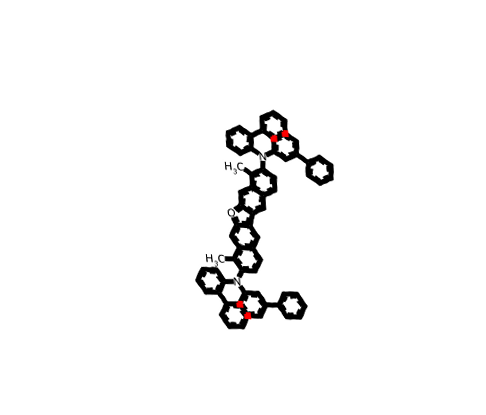 Cc1c(N(c2cccc(-c3ccccc3)c2)c2ccccc2-c2ccccc2)ccc2cc3c(cc12)oc1cc2c(C)c(N(c4cccc(-c5ccccc5)c4)c4ccccc4-c4ccccc4)ccc2cc13